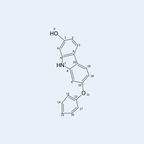 Oc1ccc2c(c1)[nH]c1cc(Oc3ccccc3)ccc12